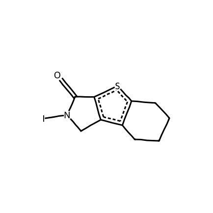 O=C1c2sc3c(c2CN1I)CCCC3